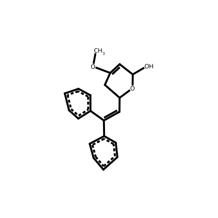 COC1=CC(O)OC(C=C(c2ccccc2)c2ccccc2)C1